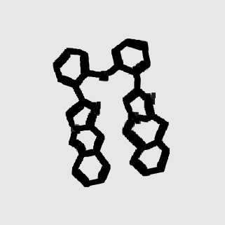 c1ccc(-c2cn3cc4ccccc4cc3n2)c(Sc2ccccc2-c2cn3cc4ccccc4cc3n2)c1